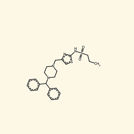 CCCS(=O)(=O)Nc1nc(CN2CCN(C(c3ccccc3)c3ccccc3)CC2)cs1